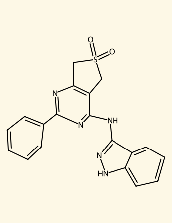 O=S1(=O)Cc2nc(-c3ccccc3)nc(Nc3n[nH]c4ccccc34)c2C1